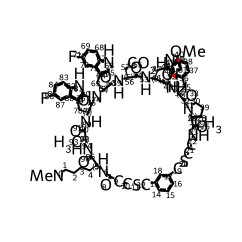 CNCCCC[C@@H]1NC(=O)CCSCc2cccc(c2)CSCCNC(=O)[C@]2(C)CCCN2C(=O)[C@H](Cc2ccc(OC)cc2)NC(=O)[C@H](Cc2ncc[nH]2)NC(=O)[C@H](CC(=O)O)NC(=O)[C@H](Cc2c[nH]c3ccc(F)cc23)NC(=O)[C@H](Cc2c[nH]c3ccc(F)cc23)NC(=O)[C@@H](C)NC1=O